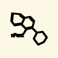 CCCCCc1c(C2CCCCC2)ccc2ccccc12